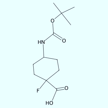 CC(C)(C)OC(=O)NC1CCC(F)(C(=O)O)CC1